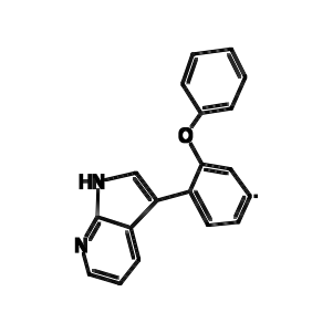 [c]1ccc(-c2c[nH]c3ncccc23)c(Oc2ccccc2)c1